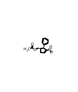 CC(=O)OC[C@@H]1CC=C([N+](=O)[O-])[C@@H]1c1ccccc1